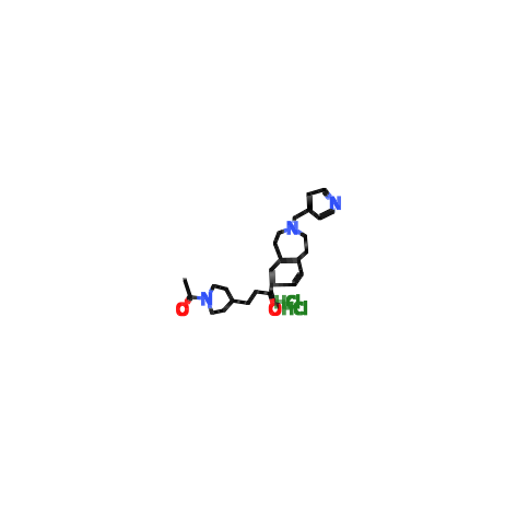 CC(=O)N1CCC(CCC(=O)c2ccc3c(c2)CCN(Cc2ccncc2)CC3)CC1.Cl.Cl